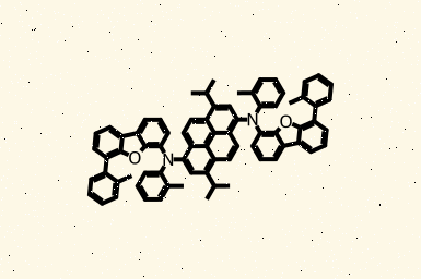 Cc1ccccc1-c1cccc2c1oc1c(N(c3ccccc3C)c3cc(C(C)C)c4ccc5c(N(c6ccccc6C)c6cccc7c6oc6c(-c8ccccc8C)cccc67)cc(C(C)C)c6ccc3c4c65)cccc12